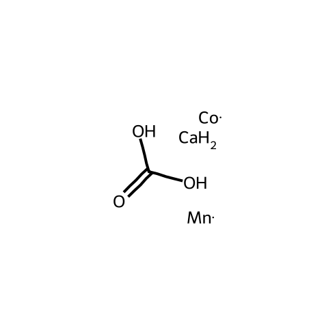 O=C(O)O.[CaH2].[Co].[Mn]